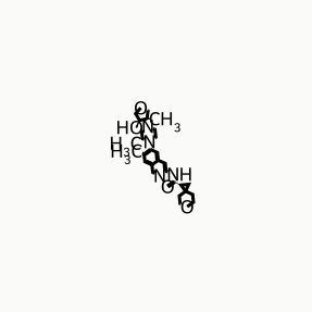 Cc1cc2cnc(NC(=O)[C@@H]3CC34CCOCC4)cc2cc1N1CCN([C@]2(C)COC[C@@H]2O)C[C@@H]1C